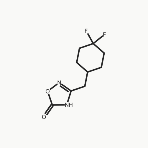 O=c1[nH]c(CC2CCC(F)(F)CC2)no1